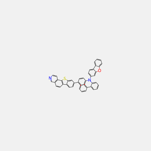 c1ccc(-c2ccccc2N(c2ccc(-c3ccc4c(c3)sc3c5ccncc5ccc43)cc2)c2ccc3c(c2)oc2ccccc23)cc1